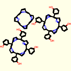 C1=Cc2cc3ccc(cc4nc(cc5ccc(cc1n2)[nH]5)CC4)[nH]3.Oc1cccc(-c2c3nc(c(-c4cccc(O)c4)c4ccc([nH]4)c(-c4cccc(O)c4)c4nc(c(-c5cccc(O)c5)c5ccc2[nH]5)CC4)C=C3)c1.Oc1cccc(-c2c3nc(c(-c4cccc(O)c4)c4ccc([nH]4)c(-c4cccc(O)c4)c4nc(c(-c5cccc(O)c5)c5ccc2[nH]5)CC4)C=C3)c1